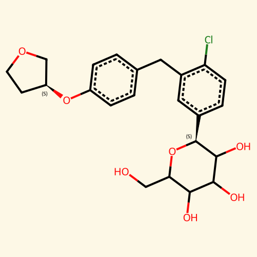 OCC1O[C@@H](c2ccc(Cl)c(Cc3ccc(O[C@H]4CCOC4)cc3)c2)C(O)C(O)C1O